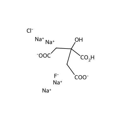 O=C([O-])CC(O)(CC(=O)[O-])C(=O)O.[Cl-].[F-].[Na+].[Na+].[Na+].[Na+]